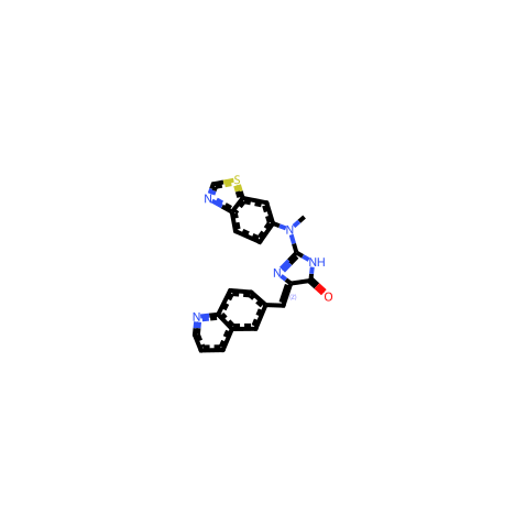 CN(C1=N/C(=C\c2ccc3ncccc3c2)C(=O)N1)c1ccc2ncsc2c1